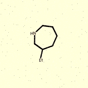 CCC1[CH]CCCNC1